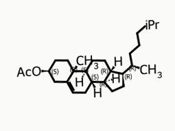 CC(=O)O[C@H]1CC[C@@]2(C)C(=CC[C@H]3[C@@H]4CC[C@H]([C@H](C)CCCC(C)C)[C@H]4CC[C@@H]32)C1